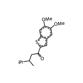 COc1cc2cc(C(=O)CC(C)C(C)C)sc2cc1OC